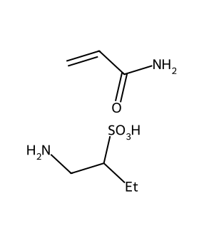 C=CC(N)=O.CCC(CN)S(=O)(=O)O